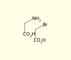 NCC(=O)O.O=C(O)CBr